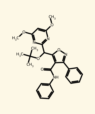 COc1cc(OC)nc(C(OC(C)(C)C)c2onc(-c3ccccc3)c2C(=O)Nc2ccccc2)n1